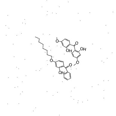 CCCCCCCCOc1ccc(C(=O)c2ccccc2)c(O)c1.COc1ccc(C(=O)c2ccc(OC)cc2O)c(O)c1